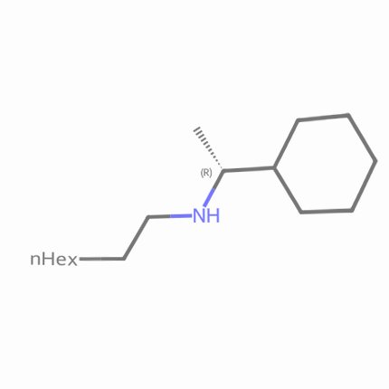 CCCCCCCCN[C@H](C)C1CCCCC1